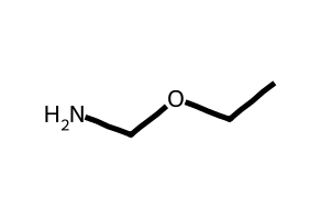 CCOCN